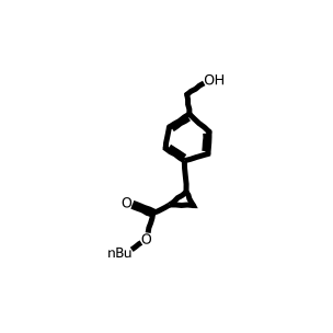 CCCCOC(=O)C1CC1c1ccc(CO)cc1